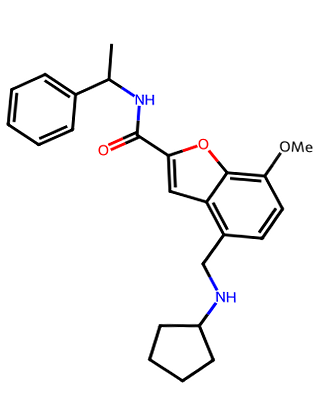 COc1ccc(CNC2CCCC2)c2cc(C(=O)NC(C)c3ccccc3)oc12